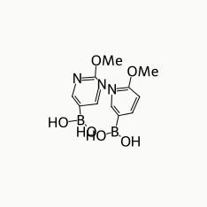 COc1ccc(B(O)O)cn1.COc1ncc(B(O)O)cn1